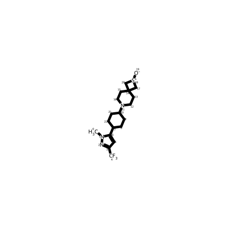 Cn1nc(C(F)(F)F)cc1C1CCC(N2CCC3(CC2)C[S+]([O-])C3)CC1